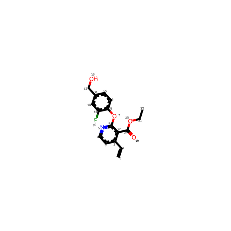 C=Cc1ccnc(Oc2ccc(CO)cc2F)c1C(=O)OCC